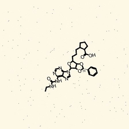 CCNC(=O)Nc1ncnc2c1ncn2C1OC(CCCC2CCCC2C(=O)O)C2O[C@H](c3ccccc3)OC21